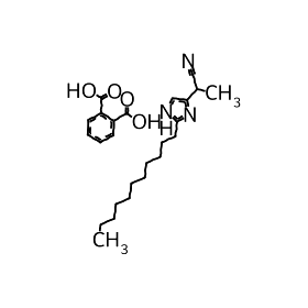 CCCCCCCCCCCc1nc(C(C)C#N)c[nH]1.O=C(O)c1ccccc1C(=O)O